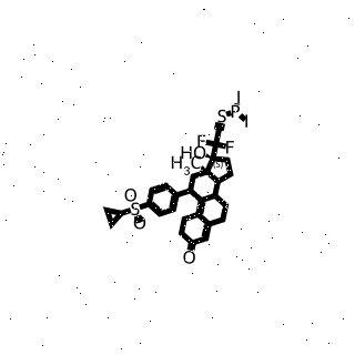 C[C@]12CC(c3ccc(S(=O)(=O)C4CC4)cc3)C3=C4CCC(=O)C=C4CCC3C1CC[C@@]2(O)C(F)(F)C#SP(I)I